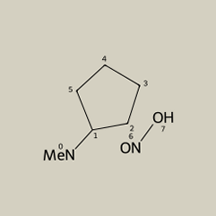 CNC1CCCC1.O=NO